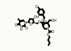 CCCCOC(=O)N1CC2C(OC[C@H]3O[C@@H](n4cc(C)c(=O)[nH]c4=O)C[C@@H]3O)OC(CO)(C1)C2OCc1ccc(Cl)cc1